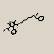 COC(=O)C1=C(C)NC(C)=C(C(=O)OCCCCCCN(C)Cc2ccccc2)C1c1ccccc1